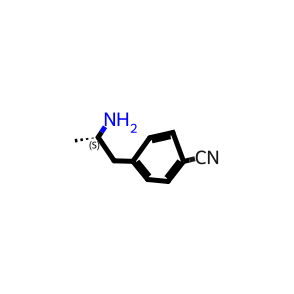 C[C@H](N)Cc1ccc(C#N)cc1